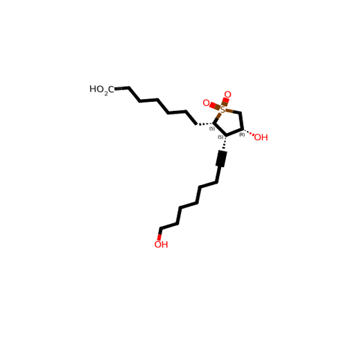 O=C(O)CCCCCC[C@H]1[C@@H](C#CCCCCCCO)[C@@H](O)CS1(=O)=O